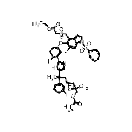 CCOC(=O)CS(=O)(=O)Cc1c(Oc2ccc(F)c(-c3ncc(C(C)(CCCC(C)(C)COC(C)=O)c4cccc(I)c4)[nH]3)c2)c(F)cc2c1ccn2S(=O)(=O)c1ccccc1